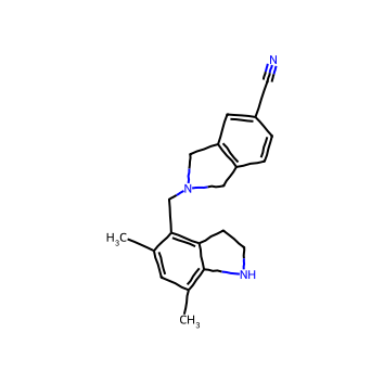 Cc1cc(C)c2c(c1CN1Cc3ccc(C#N)cc3C1)CCN2